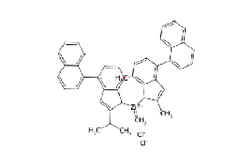 [CH2]=[Zr+2]([CH]1C(C(C)C)=Cc2c(-c3cccc4ccccc34)cccc21)[CH]1C(C)=Cc2c(-c3cccc4ccccc34)ccc(C)c21.[Cl-].[Cl-]